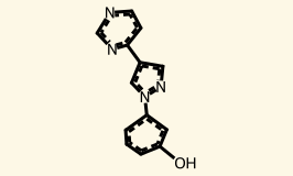 Oc1cccc(-n2cc(-c3ccncn3)cn2)c1